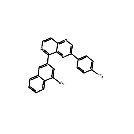 CC(C)(C)c1cc(-c2nccc3ncc(-c4ccc(C(F)(F)F)cc4)nc23)cc2ccccc12